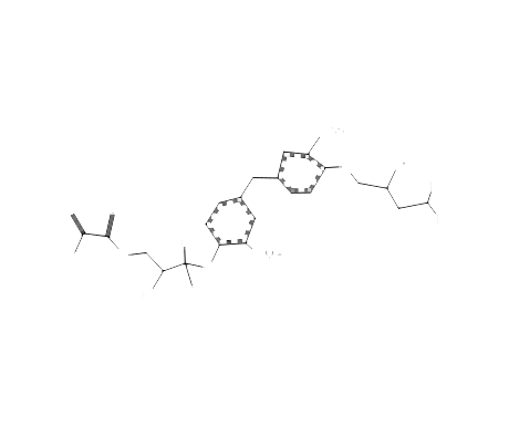 C=C(C)C(=O)OCC(O)C(CC)(CC)Oc1ccc(Cc2ccc(OCC(O)CC(CC)CC)c(OC)c2)cc1OC